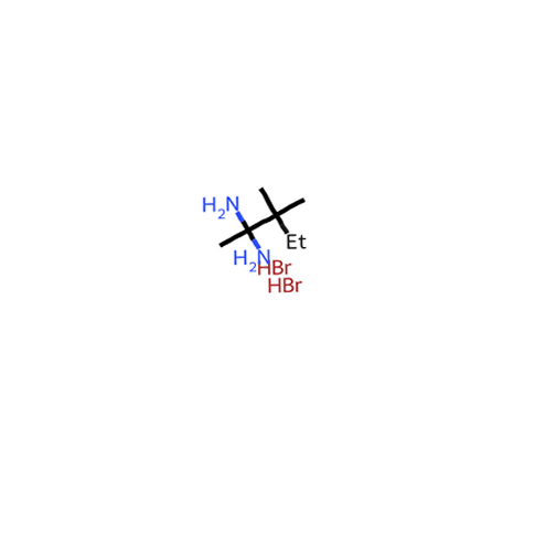 Br.Br.CCC(C)(C)C(C)(N)N